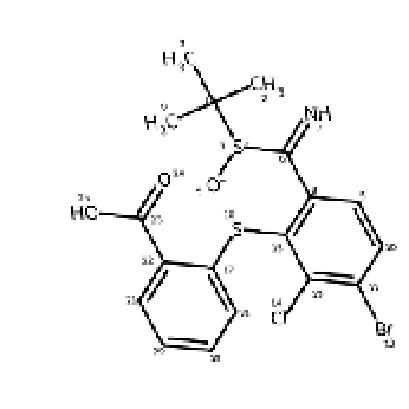 CC(C)(C)[S+]([O-])C(=N)c1ccc(Br)c(Cl)c1Sc1ccccc1C(=O)O